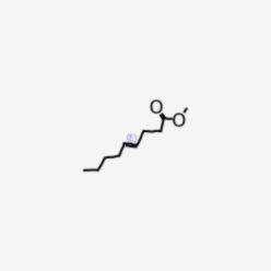 CCCC/C=C/CCC(=O)OC